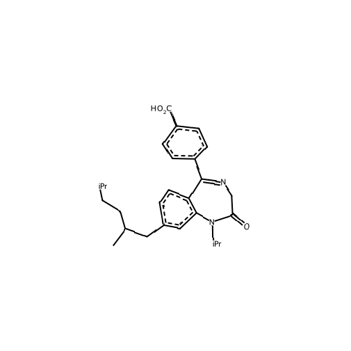 CC(C)CCC(C)Cc1ccc2c(c1)N(C(C)C)C(=O)CN=C2c1ccc(C(=O)O)cc1